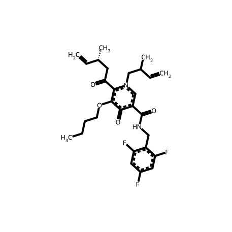 C=CC(C)Cn1cc(C(=O)NCc2c(F)cc(F)cc2F)c(=O)c(OCCCC)c1C(=O)C[C@@H](C)C=C